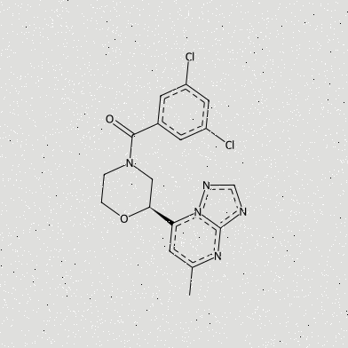 Cc1cc([C@@H]2CN(C(=O)c3cc(Cl)cc(Cl)c3)CCO2)n2ncnc2n1